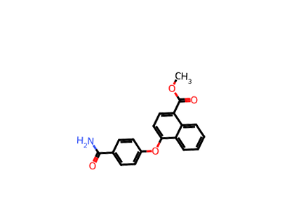 COC(=O)c1ccc(Oc2ccc(C(N)=O)cc2)c2ccccc12